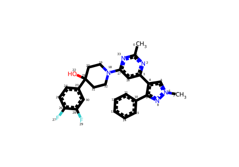 Cc1nc(-c2cn(C)nc2-c2ccccc2)cc(N2CCC(O)(c3ccc(F)c(F)c3)CC2)n1